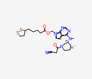 C[C@@H]1CCN(C(=O)CC#N)C[C@@H]1N(C)c1ncnc2c1ccn2COC(=O)CCCCC1CCSS1